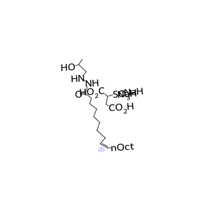 CCCCCCCC/C=C\CCCCCCCC(=O)NNCC(C)O.O=C(O)CC(C(=O)O)S(=O)(=O)O.[NaH].[NaH]